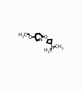 CCOc1ccc(O[C@H]2C[C@@H](N(C)C)C2)nc1